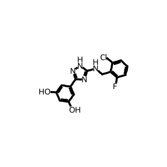 Oc1cc(O)cc(-c2n[nH]c(NCc3c(F)cccc3Cl)n2)c1